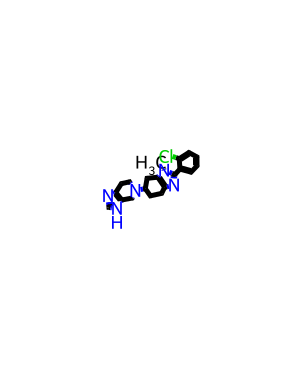 Cn1c(-c2ccccc2Cl)nc2c1CC(N1CCc3nc[nH]c3C1)CC2